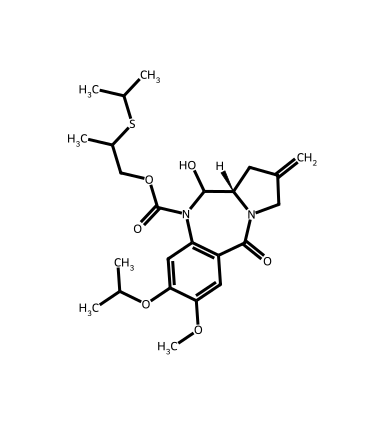 C=C1C[C@H]2C(O)N(C(=O)OCC(C)SC(C)C)c3cc(OC(C)C)c(OC)cc3C(=O)N2C1